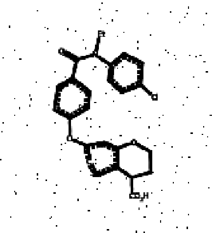 CCN(C(=O)c1ccc(Oc2ccc3c(c2)OCCC3C(=O)O)cc1)c1ccc(Cl)cc1